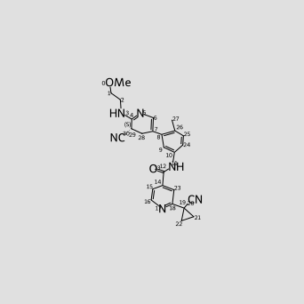 COCCNC1=NC=C(c2cc(NC(=O)c3ccnc(C4(C#N)CC4)c3)ccc2C)C[C@@H]1C#N